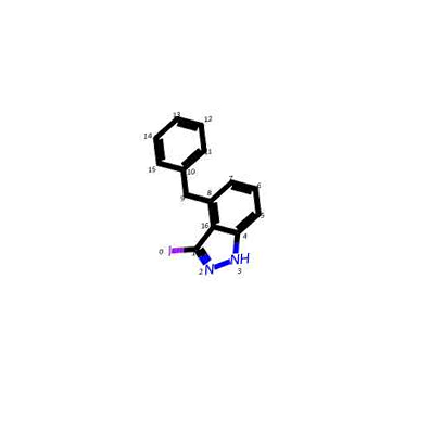 Ic1n[nH]c2cccc(Cc3ccccc3)c12